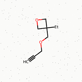 C#CCOCC1(CC)COC1